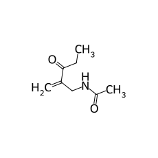 C=C(CNC(C)=O)C(=O)CC